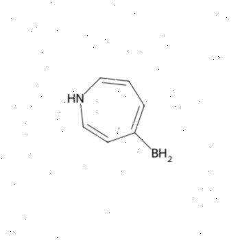 BC1=CC=CNC=C1